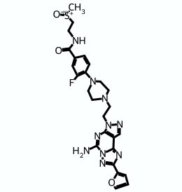 C[S@@+]([O-])CCNC(=O)c1ccc(N2CCN(CCn3ncc4c3nc(N)n3nc(-c5ccco5)nc43)CC2)c(F)c1